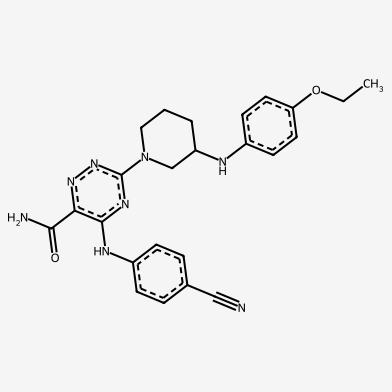 CCOc1ccc(NC2CCCN(c3nnc(C(N)=O)c(Nc4ccc(C#N)cc4)n3)C2)cc1